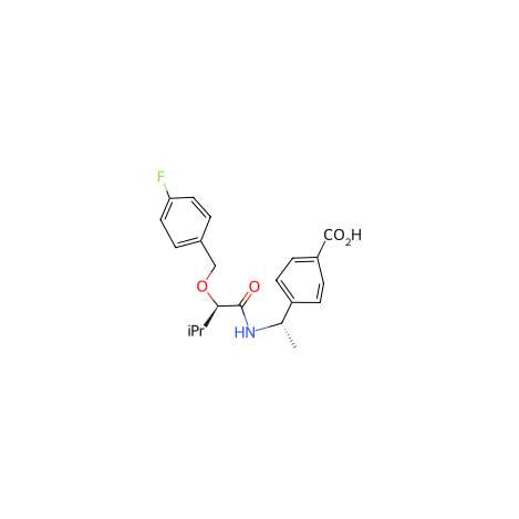 CC(C)[C@@H](OCc1ccc(F)cc1)C(=O)N[C@@H](C)c1ccc(C(=O)O)cc1